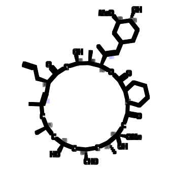 C=CC[C@@H]1/C=C(\C)C[C@H](C)C[C@H](O)C[C@@H](C=O)C[C@@H](C)[C@@](O)(OC)CC(=O)N2CCCCC2C(=O)O[C@H](/C(C)=C/C2CC[C@@H](O)[C@H](OC)C2)[C@H](C)[C@H](O)CC1=O